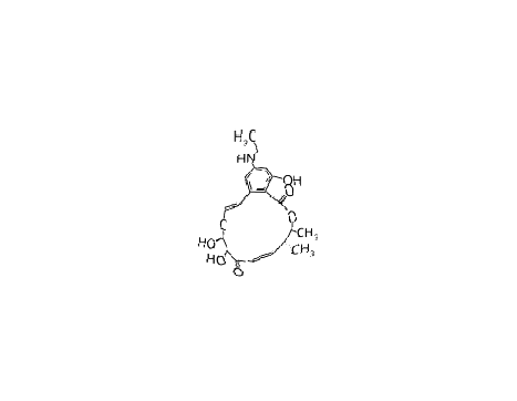 CCNc1cc(O)c2c(c1)/C=C/C[C@H](O)[C@H](O)C(=O)/C=C\[C@@H](C)C(C)OC2=O